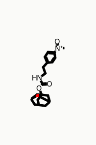 C[N+](=O)c1ccc(CCNC(=O)OC23CC4CC(CC(C4)C2)C3)cc1